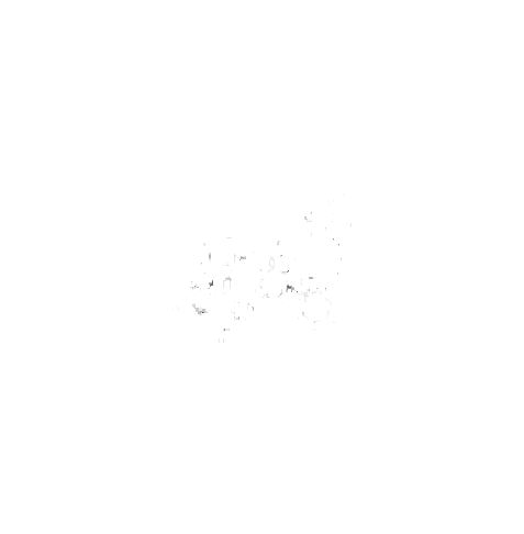 CCC1(O)C[C@H]2CN(CCc3c([nH]c4ccccc34)[C@@](C(=O)OC)(c3cc4c(cc3OC)N(C)C3[C@]45CCN4CC=C[C@@](CC)([C@@H](OC(C)=O)[C@]3(O)C(=O)OC)[C@H]45)C2)C1